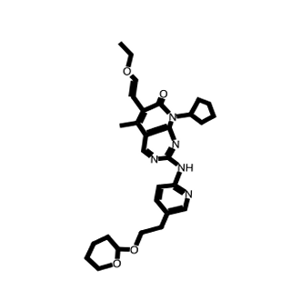 CCOC=Cc1c(C)c2cnc(Nc3ccc(CCOC4CCCCO4)cn3)nc2n(C2CCCC2)c1=O